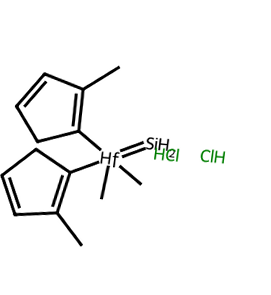 CC1=[C]([Hf]([CH3])([CH3])(=[SiH2])[C]2=C(C)C=CC2)CC=C1.Cl.Cl